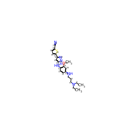 CCN(CC)CCCNc1ccc(Nc2cc(-c3ccc(C#N)s3)n[nH]2)c(OC)c1